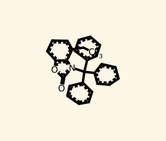 O=c1oc2cccc(CC(F)(F)F)c2n1C(c1ccccc1)(c1ccccc1)c1ccccc1